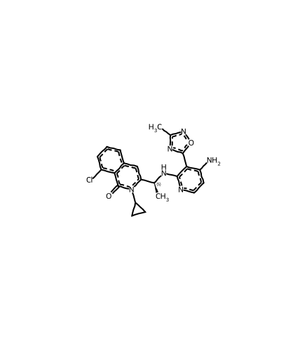 Cc1noc(-c2c(N)ccnc2N[C@@H](C)c2cc3cccc(Cl)c3c(=O)n2C2CC2)n1